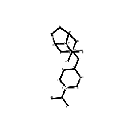 CC(C)N1CCC(CN2CC3CCC(C2)N3C(C)C)CC1